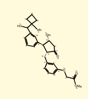 CCCC1(C(O)c2cccc([C@H]3[C@H](O)CC(=O)[C@@H]3Cc3cccc(OCC(=O)OC)c3)c2)CCC1